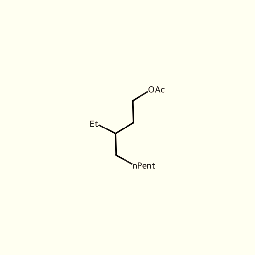 CCCCCCC(CC)CCOC(C)=O